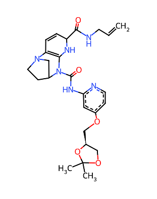 C=CCNC(=O)C1C=CC2=C(N1)N(C(=O)Nc1cc(OC[C@H]3COC(C)(C)O3)ccn1)C1CCN2C1